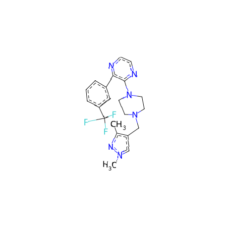 Cc1nn(C)cc1CN1CCN(c2nccnc2-c2cccc(C(F)(F)F)c2)CC1